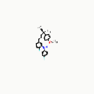 C#CC(C)(CCCc1ccc(F)c(Nc2ccc(F)cc2)c1)c1ccc(OC)cc1